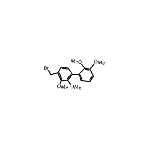 COc1cccc(-c2ccc(CBr)c(OC)c2OC)c1OC